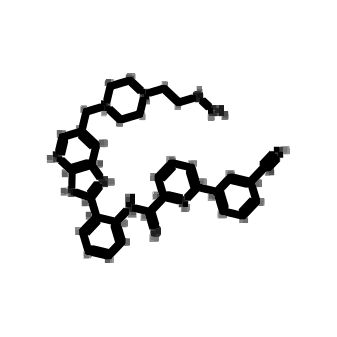 COCCN1CCN(Cc2cnc3sc(-c4ccccc4NC(=O)c4cccc(-c5cccc(C#N)c5)n4)nc3c2)CC1